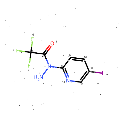 NN(C(=O)C(F)(F)F)c1ccc(I)cn1